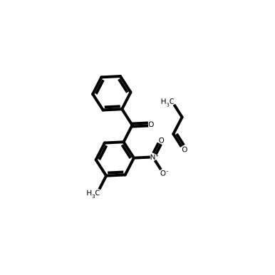 CCC=O.Cc1ccc(C(=O)c2ccccc2)c([N+](=O)[O-])c1